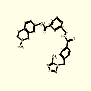 Cc1nnnn1Cc1ccc(C(=O)NCc2cccc(C(=O)Nc3ccc4c(c3)CN(C)CC4)c2)cc1